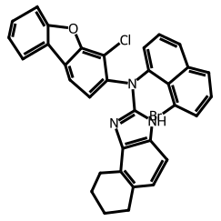 Clc1c(N(c2nc3c4c(ccc3[nH]2)CCCC4)c2cccc3cccc(Br)c23)ccc2c1oc1ccccc12